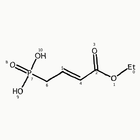 CCOC(=O)C=CCP(=O)(O)O